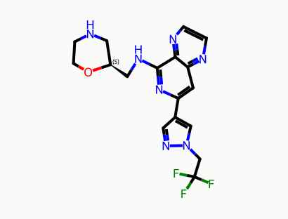 FC(F)(F)Cn1cc(-c2cc3nccnc3c(NC[C@@H]3CNCCO3)n2)cn1